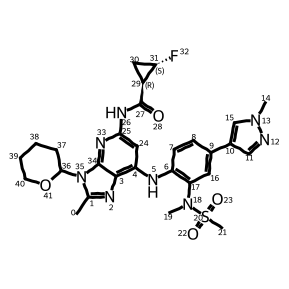 Cc1nc2c(Nc3ccc(-c4cnn(C)c4)cc3N(C)S(C)(=O)=O)cc(NC(=O)[C@H]3C[C@@H]3F)nc2n1C1CCCCO1